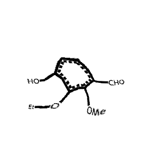 CCOc1c(O)ccc(C=O)c1OC